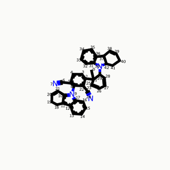 CC1(c2ccc(C#N)c(-n3c4c(c5ccccc53)CCC=C4)c2C#N)C=CC=CC1N1c2ccccc2C2C=CCCC21